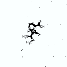 COC(N)C1C(=O)N2C(C(=O)O)=CCS[C@@H]12